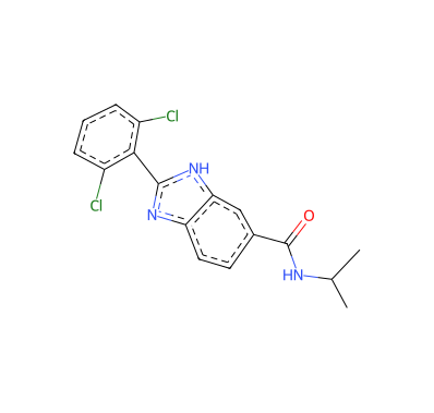 CC(C)NC(=O)c1ccc2nc(-c3c(Cl)cccc3Cl)[nH]c2c1